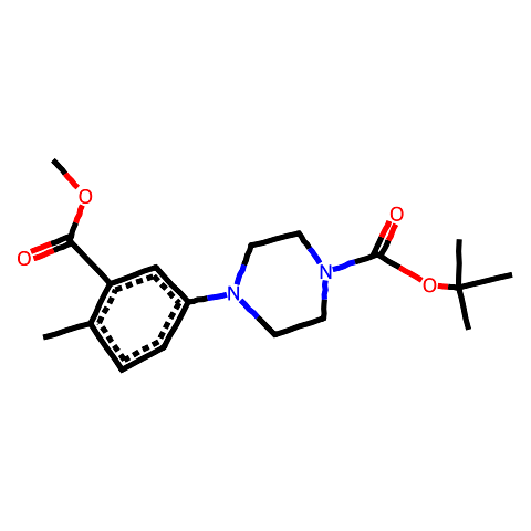 COC(=O)c1cc(N2CCN(C(=O)OC(C)(C)C)CC2)ccc1C